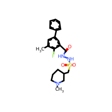 Cc1cc(-c2ccccc2)cc(C(=O)NNS(=O)(=O)CC2CCCN(C)C2)c1F